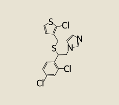 Clc1ccc(C(Cn2ccnc2)SCc2ccsc2Cl)c(Cl)c1